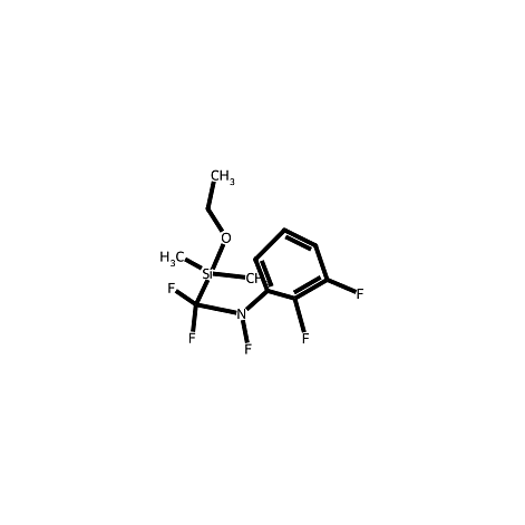 CCO[Si](C)(C)C(F)(F)N(F)c1cccc(F)c1F